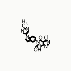 Cc1ncc(-n2ccc3cc(N(CCO)C(=O)c4c(Cl)ncnc4Cl)ccc32)cn1